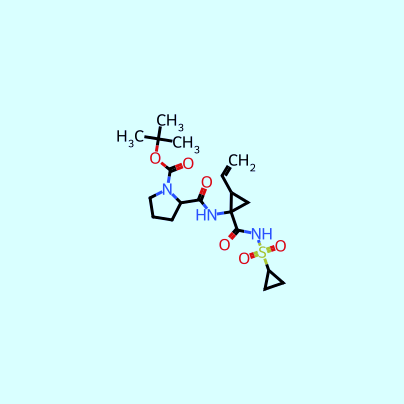 C=CC1CC1(NC(=O)C1CCCN1C(=O)OC(C)(C)C)C(=O)NS(=O)(=O)C1CC1